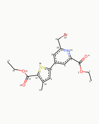 CCOC(=O)c1cc(-c2cc(C)c(C(=O)OCC)s2)cc(CBr)n1